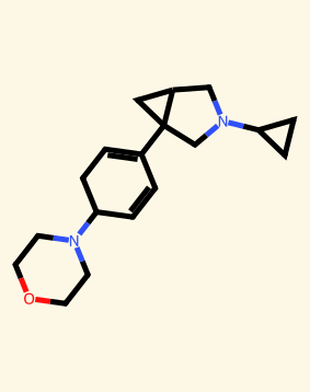 C1=CC(N2CCOCC2)CC=C1C12CC1CN(C1CC1)C2